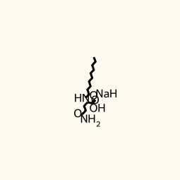 CCCCCCCCCC(=O)NC(CCC(N)=O)C(=O)O.[NaH]